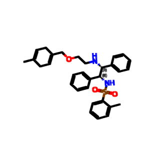 CC1=CCC(COCCN[C@H](c2ccccc2)[C@H](NS(=O)(=O)c2ccccc2C)c2ccccc2)=CC1